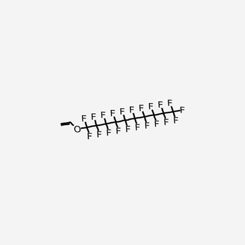 C=COC(F)(F)C(F)(F)C(F)(F)C(F)(F)C(F)(F)C(F)(F)C(F)(F)C(F)(F)C(F)(F)C(F)(F)F